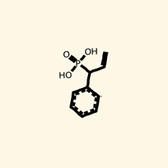 C=CC(c1[c]cccc1)P(=O)(O)O